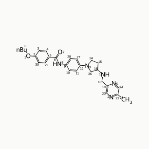 CCCCOc1ccc(C(=O)Nc2ccc(N3CCC(NCc4cnc(C)cn4)C3)cc2)cc1